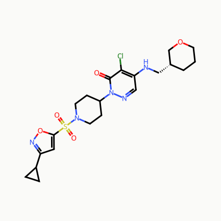 O=c1c(Cl)c(NC[C@H]2CCCOC2)cnn1C1CCN(S(=O)(=O)c2cc(C3CC3)no2)CC1